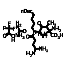 CCCCCCCCCCCCCCN(C(=O)CCC(N)N)C(C(=O)C(C)C(N)(N)C(=O)O)C(C)C.NC(N)=O.O=C(O)C(F)(F)F